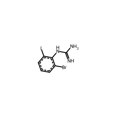 N=C(N)Nc1c(Br)cccc1I